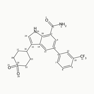 NC(=O)c1cc(-c2cccc(C(F)(F)F)c2)cc2c(C3CCS(=O)(=O)CC3)c[nH]c12